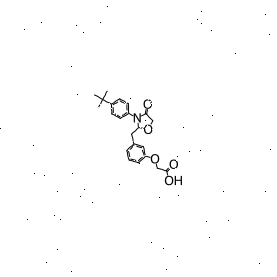 CC(C)(C)c1ccc(N2C(=O)COC2Cc2cccc(OCC(=O)O)c2)cc1